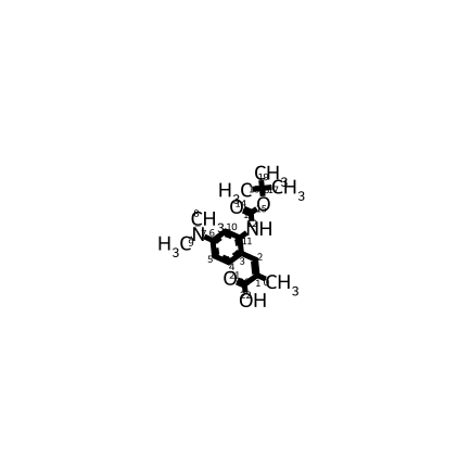 CC(=Cc1ccc(N(C)C)cc1NC(=O)OC(C)(C)C)C(=O)O